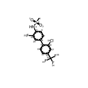 CS(=O)(=O)Nc1ccc(-c2ccc(C(F)(F)F)cc2Cl)cc1F